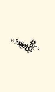 Cn1cnc(S(=O)(=O)NCc2ccc3c(c2)[C@H](Cc2ccccc2)[C@H](N)CO3)c1